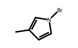 Cc1ccn(Br)c1